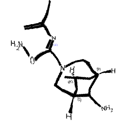 C=C(C)/N=C(\ON)N1C[C@@H]2C(N)[C@H](C1)[C@H]2C